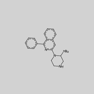 CCCCC1CNCCN1c1cc2ccccc2c(-c2ccccc2)n1